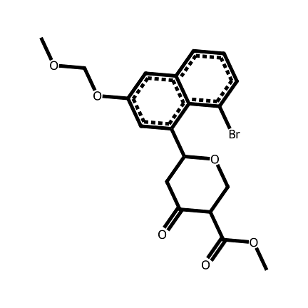 COCOc1cc(C2CC(=O)C(C(=O)OC)CO2)c2c(Br)cccc2c1